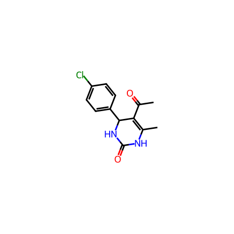 CC(=O)C1=C(C)NC(=O)NC1c1ccc(Cl)cc1